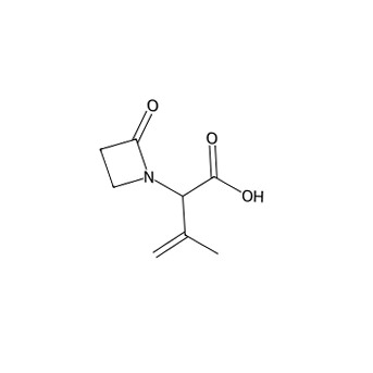 C=C(C)C(C(=O)O)N1CCC1=O